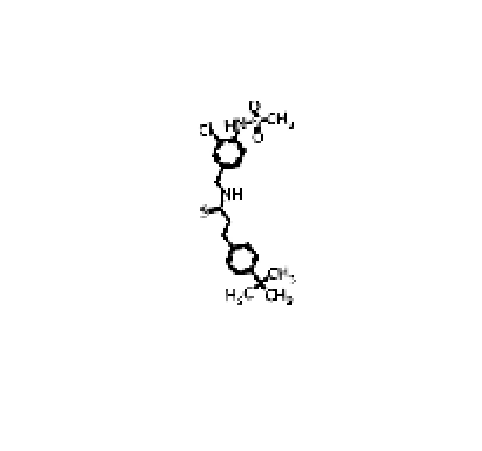 CC(C)(C)c1ccc(CCC(=S)NCc2ccc(NS(C)(=O)=O)c(Cl)c2)cc1